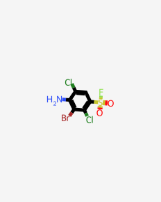 Nc1c(Cl)cc(S(=O)(=O)F)c(Cl)c1Br